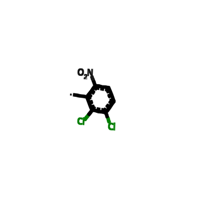 [CH2]c1c([N+](=O)[O-])ccc(Cl)c1Cl